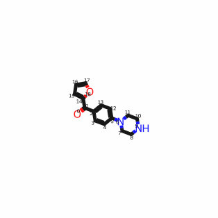 O=C(c1ccc(N2CCNCC2)cc1)c1ccco1